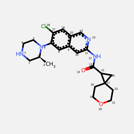 C[C@H]1CNCCN1c1cc2cc(NC(=O)C3CC34CCOCC4)ncc2cc1Cl